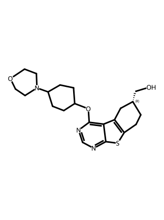 OC[C@@H]1CCc2sc3ncnc(OC4CCC(N5CCOCC5)CC4)c3c2C1